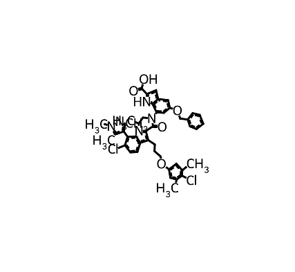 Cc1cc(OCCCc2c3n(c4c(-c5c(C)nn(C)c5C)c(Cl)ccc24)C(C)CN(c2cc(OCc4ccccc4)cc4cc(C(=O)O)[nH]c24)C3=O)cc(C)c1Cl